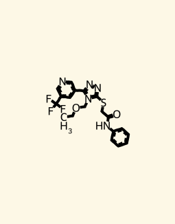 CCOCn1c(SCC(=O)Nc2ccccc2)nnc1-c1cncc(C(F)(F)F)c1